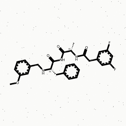 COc1cccc(CN[C@@H](Cc2ccccc2)C(=O)NC(=O)[C@H](C)NC(=O)Cc2cc(F)cc(F)c2)c1